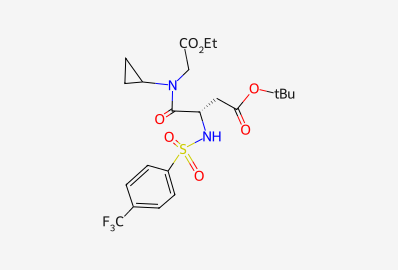 CCOC(=O)CN(C(=O)[C@H](CC(=O)OC(C)(C)C)NS(=O)(=O)c1ccc(C(F)(F)F)cc1)C1CC1